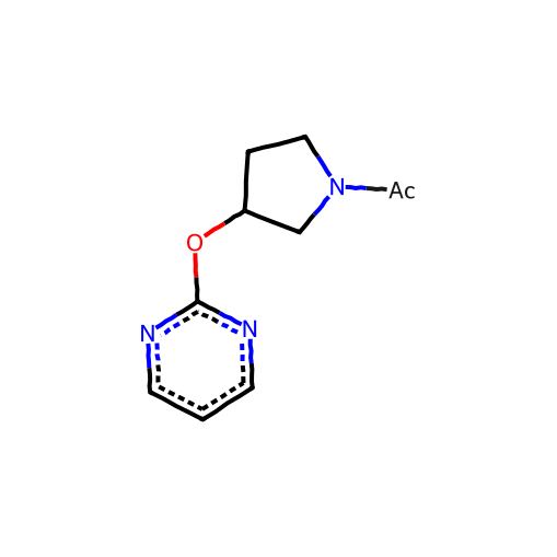 CC(=O)N1CCC(Oc2ncccn2)C1